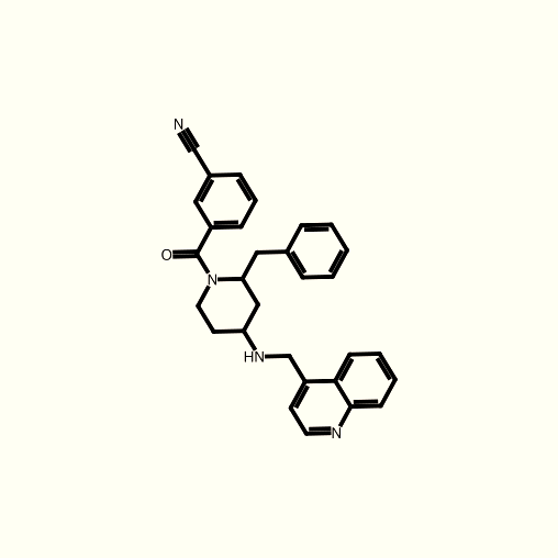 N#Cc1cccc(C(=O)N2CCC(NCc3ccnc4ccccc34)CC2Cc2ccccc2)c1